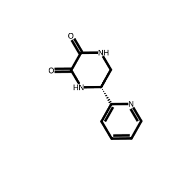 O=C1NC[C@H](c2ccccn2)NC1=O